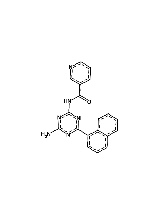 Nc1nc(NC(=O)c2cccnc2)nc(-c2cccc3ccccc23)n1